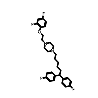 Fc1ccc(C(CCCCCN2CCN(CCOc3ccc(F)cc3F)CC2)c2ccc(F)cc2)cc1